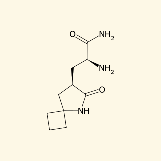 NC(=O)[C@@H](N)C[C@@H]1CC2(CCC2)NC1=O